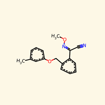 CON=C(C#N)c1ccccc1COc1cccc(C)c1